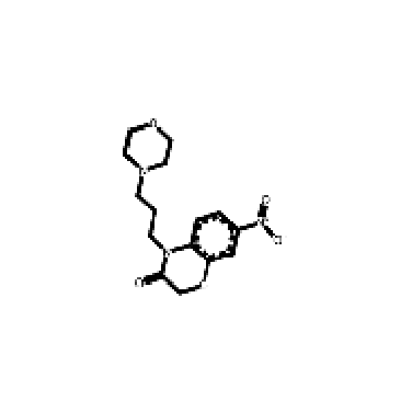 O=C1COc2cc([N+](=O)[O-])ccc2N1CCCN1CCOCC1